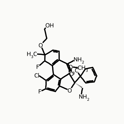 CO[C@H]1c2c(cc(F)c(Cl)c2C2=C(C(N)=O)C=CC(C)(OCCO)C2F)O[C@]1(CN)C1(C)C=CC=CC1